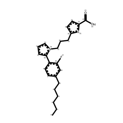 CCCCCCc1ccc(-c2cccn2CCCc2ccc(C(=O)O)s2)c(F)c1